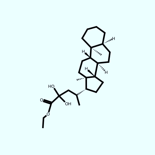 CCOC(=O)C(O)(O)CC(C)[C@H]1CC[C@H]2[C@@H]3CC[C@@H]4CCCC[C@]4(C)[C@H]3CC[C@]12C